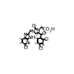 O=C(O)CN1C(=O)N(Cc2nc3ccc(Cl)nc3[nH]2)CC1C(=O)c1ccc(Cl)cc1Cl